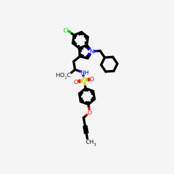 CC#CCOc1ccc(S(=O)(=O)NC(Cc2cn(CC3CCCCC3)c3ccc(Cl)cc23)C(=O)O)cc1